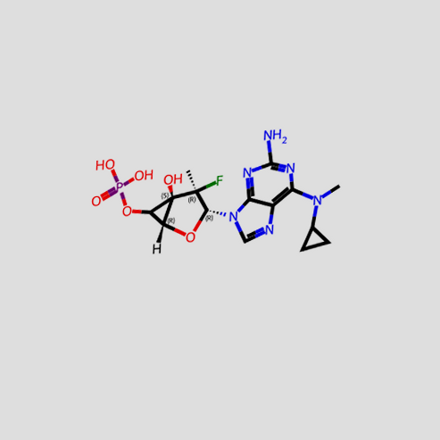 CN(c1nc(N)nc2c1ncn2[C@@H]1O[C@@H]2C(OP(=O)(O)O)[C@]2(O)[C@@]1(C)F)C1CC1